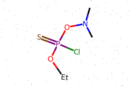 CCOP(=S)(Cl)ON(C)C